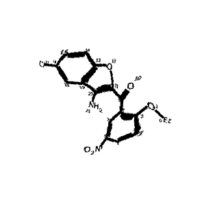 CCOc1ccc([N+](=O)[O-])cc1C(=O)c1oc2ccc(Cl)cc2c1N